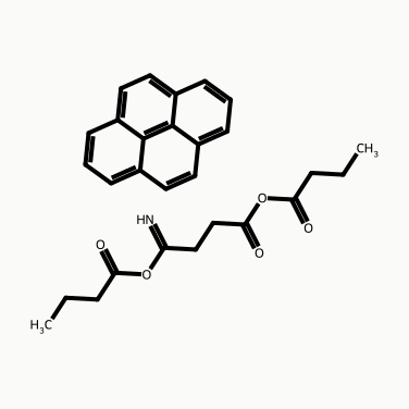 CCCC(=O)OC(=N)CCC(=O)OC(=O)CCC.c1cc2ccc3cccc4ccc(c1)c2c34